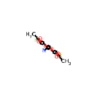 CCCC[C@H](F)C(=O)OC1CCC(COc2ccc(OCC3CCC(OC(=O)[C@@H](F)CCCC)CC3)c(C#N)c2)CC1